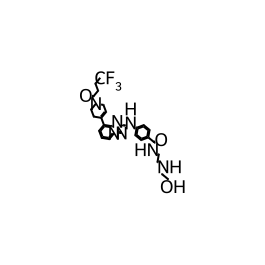 O=C(NCCNCCO)c1ccc(Nc2nc3c(C4=CCN(C(=O)CCC(F)(F)F)CC4)cccn3n2)cc1